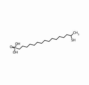 CC(S)CCCCCCCCCCCCCCP(=O)(O)O